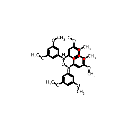 COc1cc(OC)cc([SiH](O[SiH](c2cc(OC)cc(OC)c2)c2cc(OC)cc(OC)c2)c2cc(OC)cc(OC)c2)c1